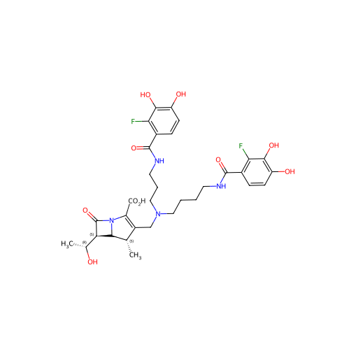 C[C@H]1C(CN(CCCCNC(=O)c2ccc(O)c(O)c2F)CCCNC(=O)c2ccc(O)c(O)c2F)=C(C(=O)O)N2C(=O)[C@H]([C@@H](C)O)C12